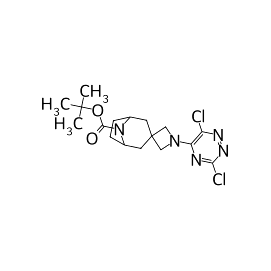 CC(C)(C)OC(=O)N1C2CCC1CC1(C2)CN(c2nc(Cl)nnc2Cl)C1